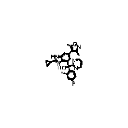 Cc1noc(C)c1-c1cc(C(O)(c2ncccn2)c2ccc(F)cc2F)c2nc(C3CC3)[nH]c2c1